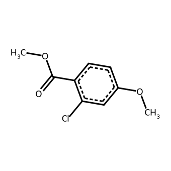 COC(=O)c1ccc(OC)cc1Cl